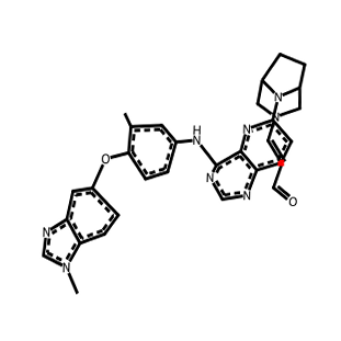 Cc1cc(Nc2ncnc3ccc(N4C5CCC4CN(C=CC=O)C5)nc23)ccc1Oc1ccc2c(c1)ncn2C